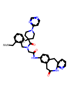 CNCc1ccccc1CN(CC(=O)Nc1ccc2c(c1)CC(=O)Nc1ncccc1C2)C(=O)C1(C)CCN(c2ccncn2)CC1